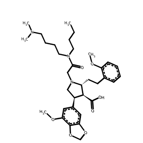 CCCCN(CCCCN(C)C)C(=O)CN1C[C@H](c2cc(OC)c3c(c2)OCO3)[C@H](C(=O)O)[C@H]1CCc1ccccc1OC